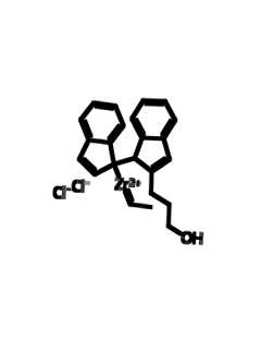 C[CH]=[Zr+2][C]1(C2C(CCCO)=Cc3ccccc32)C=Cc2ccccc21.[Cl-].[Cl-]